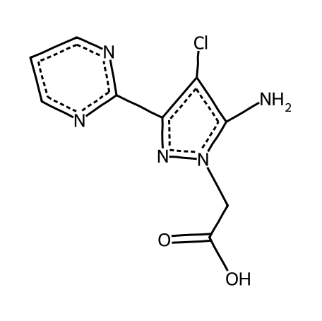 Nc1c(Cl)c(-c2ncccn2)nn1CC(=O)O